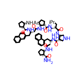 CC(=O)N[C@H]1CCC[C@@H]1C(=O)N[C@H](CC(=O)N[C@H]1CCC[C@@H]1C(=O)NC[C@H](CC(C)C)C(=O)N[C@H]1CNC[C@@H]1C(=O)N[C@H](CC(=O)N[C@H]1CCC[C@@H]1C(N)=O)Cc1cccc2ccccc12)Cc1ccc2ccccc2c1